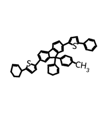 Cc1ccc(C2(C3=CCCC=C3)c3cc(-c4ccc(-c5ccccc5)s4)ccc3-c3ccc(-c4ccc(C5C=CCCC5)s4)cc32)cc1